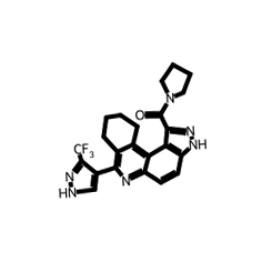 O=C(c1n[nH]c2ccc3nc(-c4c[nH]nc4C(F)(F)F)c4c(c3c12)CCCC4)N1CCCC1